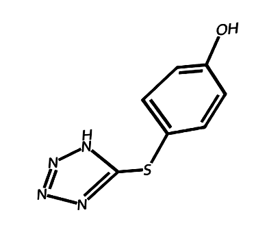 Oc1ccc(Sc2nnn[nH]2)cc1